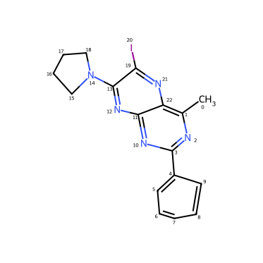 Cc1nc(-c2ccccc2)nc2nc(N3CCCC3)c(I)nc12